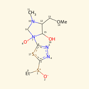 CC[S+]([O-])c1nnc([N+]2([O-])CN(C)C(COC)C2O)s1